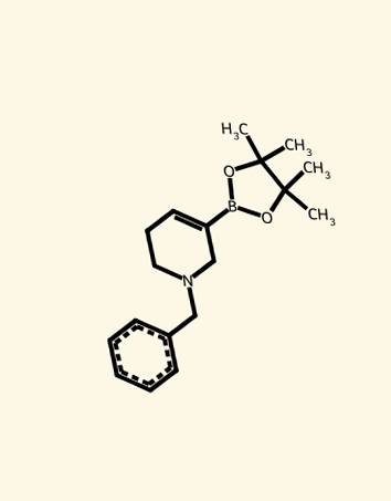 CC1(C)OB(C2=CCCN(Cc3ccccc3)C2)OC1(C)C